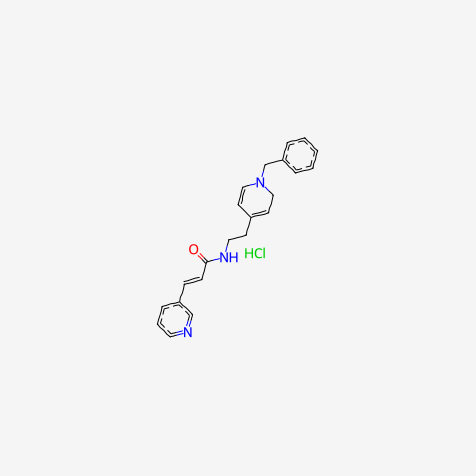 Cl.O=C(/C=C/c1cccnc1)NCCC1=CCN(Cc2ccccc2)C=C1